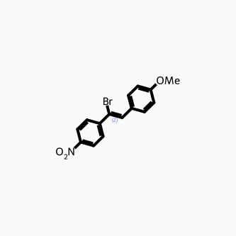 COc1ccc(/C=C(\Br)c2ccc([N+](=O)[O-])cc2)cc1